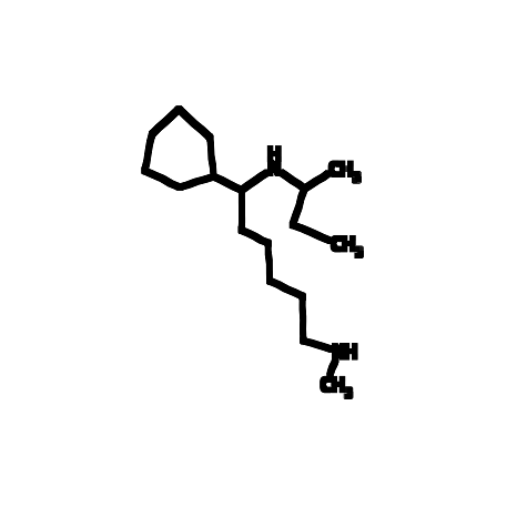 CCC(C)NC(CCCCCNC)C1CCCCC1